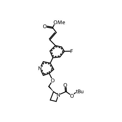 COC(=O)C=Cc1cc(F)cc(-c2cncc(OC[C@@H]3CCN3C(=O)OC(C)(C)C)c2)c1